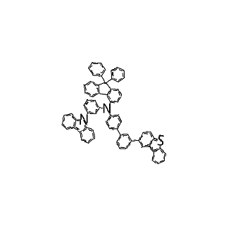 c1ccc(C2(c3ccccc3)c3ccccc3-c3c(N(c4ccc(-c5cccc(-c6ccc7sc8ccccc8c7c6)c5)cc4)c4cccc(-n5c6ccccc6c6ccccc65)c4)cccc32)cc1